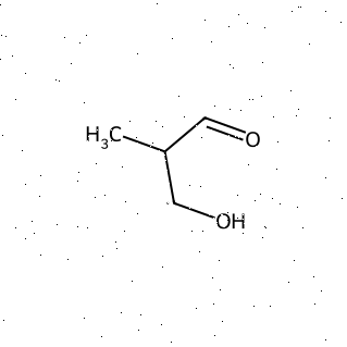 CC([CH]O)C=O